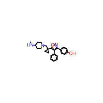 CNC1CCN(CC2(c3onc(-c4ccc(O)cc4)c3-c3ccccc3)CC2)CC1